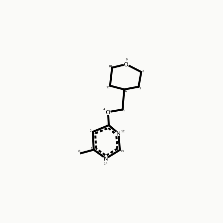 Cc1cc(OCC2CCOCC2)ncn1